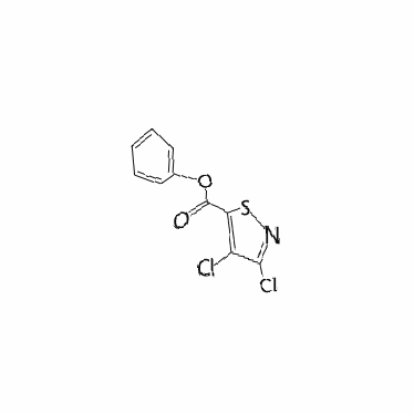 O=C(Oc1ccccc1)c1snc(Cl)c1Cl